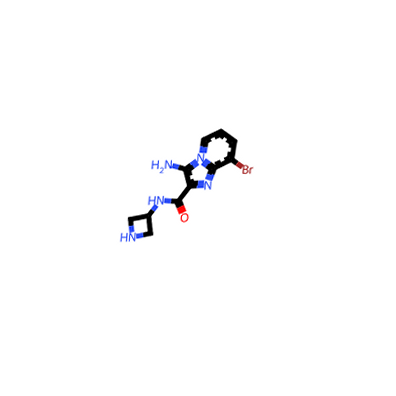 Nc1c(C(=O)NC2CNC2)nc2c(Br)cccn12